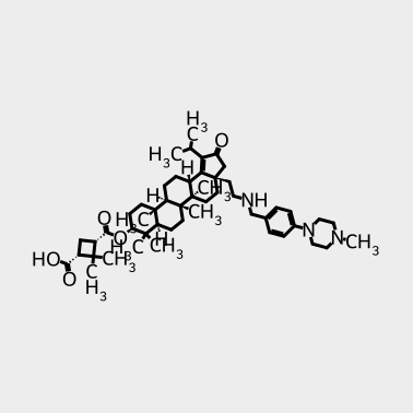 CC(C)C1=C2[C@H]3CC[C@@H]4[C@@]5(C)CC[C@H](OC(=O)[C@H]6C[C@@H](C(=O)O)C6(C)C)C(C)(C)[C@@H]5CC[C@@]4(C)[C@]3(C)CC[C@@]2(CCNCc2ccc(N3CCN(C)CC3)cc2)CC1=O